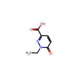 CCn1nc(C(=O)O)ccc1=O